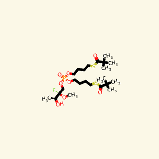 CO[C@](F)(COP(=O)(OCCCCSC(=O)C(C)(C)C)OCCCCSC(=O)C(C)(C)C)[C@H](C)O